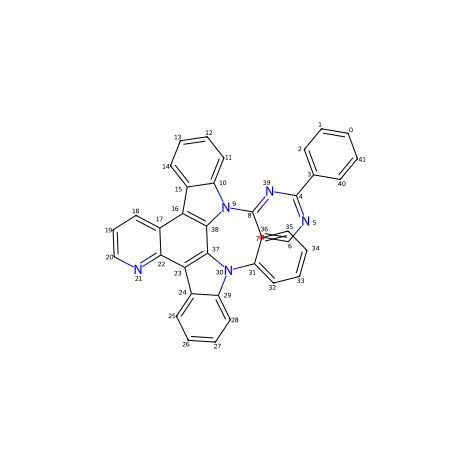 c1ccc(-c2nccc(-n3c4ccccc4c4c5cccnc5c5c6ccccc6n(-c6ccccc6)c5c43)n2)cc1